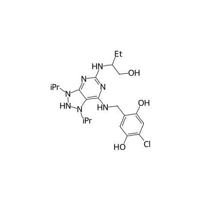 CCC(CO)Nc1nc(NCc2cc(O)c(Cl)cc2O)c2c(n1)N(C(C)C)NN2C(C)C